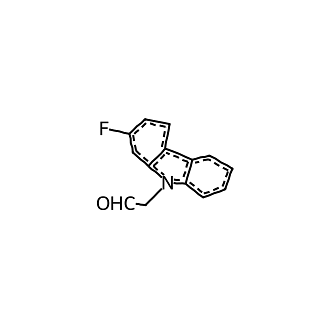 O=CCn1c2ccccc2c2ccc(F)cc21